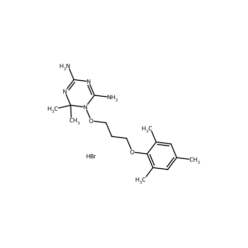 Br.Cc1cc(C)c(OCCCON2C(N)=NC(N)=NC2(C)C)c(C)c1